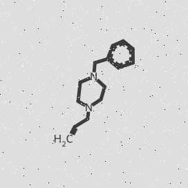 C=CCN1CCN(Cc2ccccc2)CC1